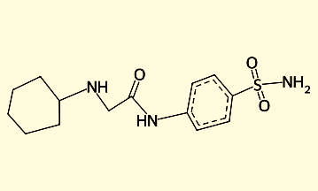 NS(=O)(=O)c1ccc(NC(=O)CNC2CCCCC2)cc1